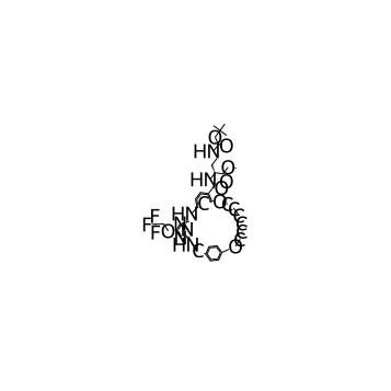 COC(=O)[C@H](CCNC(=O)OC(C)(C)C)NC(=O)c1ccc2cc1OCCCCCCOc1ccc(cc1)CNc1nc(nc(OCC(F)(F)F)n1)N2